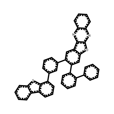 c1ccc(-c2ccccc2-c2cc3oc4nc5ccccc5nc4c3cc2-c2cccc(-c3cccc4c3sc3ccccc34)c2)cc1